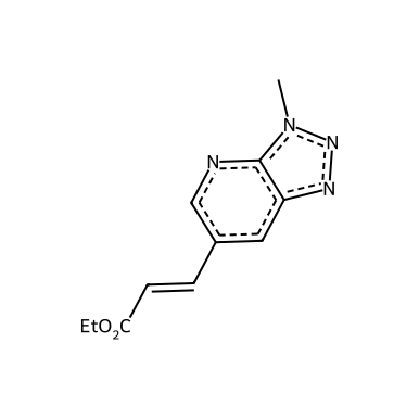 CCOC(=O)/C=C/c1cnc2c(c1)nnn2C